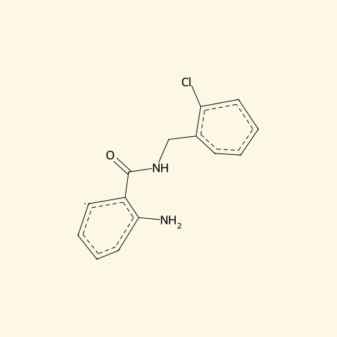 Nc1ccc[c]c1C(=O)NCc1ccccc1Cl